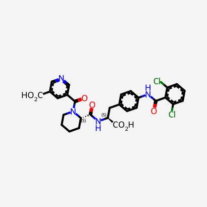 O=C(O)c1cncc(C(=O)N2CCCC[C@H]2C(=O)N[C@@H](Cc2ccc(NC(=O)c3c(Cl)cccc3Cl)cc2)C(=O)O)c1